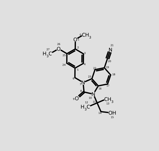 COc1ccc(Cn2c(=O)n(C(C)(C)CO)c3ccc(C#N)cc32)cc1OC